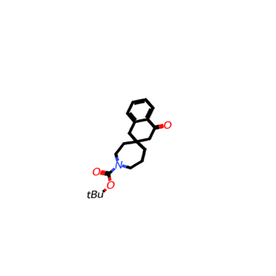 CC(C)(C)OC(=O)N1CCCC2(CC1)CC(=O)c1ccccc1C2